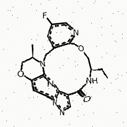 CC[C@@H]1COc2ncc(F)cc2CN2c3nc4c(cnn4cc3OC[C@H]2C)C(=O)N1